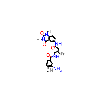 CCn1c(=O)c2cc(NC(=O)CC(CNC(=O)c3ccc(C#N)c(N)c3)C(C)C)ccc2n(CC)c1=O